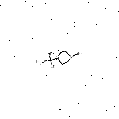 CCCC(C)(CC)N1CCN(C(C)C)CC1